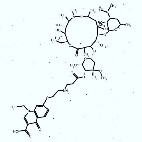 CC[C@@H]1OC(=O)[C@H](C)[C@H](O[C@@H]2C[C@](C)(OC)[C@H](OC(=O)CCNCCOc3ccc4c(=O)c(C(=O)O)cn(CC)c4c3)[C@H](C)O2)[C@@H](C)[C@H](O[C@@H]2O[C@H](C)C[C@H](N(C)C)[C@@H]2O)[C@](C)(O)C[C@H](C)CN(C)[C@H](C)[C@@H](O)[C@]1(C)O